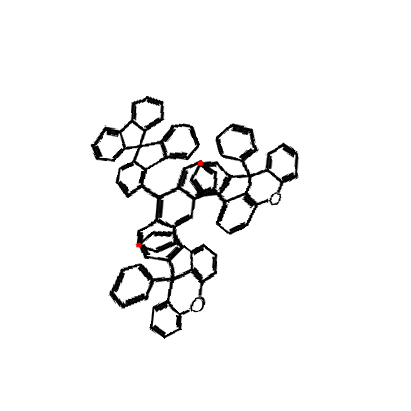 c1ccc(C2(c3ccccc3)c3ccccc3Oc3cccc(-c4cccc5c(-c6cccc7c6-c6ccccc6C76c7ccccc7-c7ccccc76)c6cccc(-c7cccc8c7C(c7ccccc7)(c7ccccc7)c7ccccc7O8)c6cc45)c32)cc1